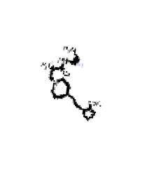 C=C(CN1CCCC(CCc2ccccc2C)CC1)C(=O)N/C=C\N